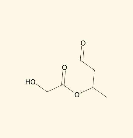 CC(CC=O)OC(=O)CO